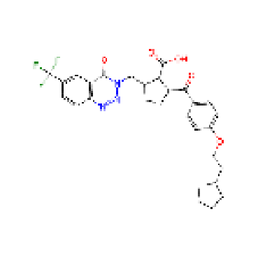 O=C(c1ccc(OCCC2CCCC2)cc1)C1CCC(Cn2nnc3ccc(C(F)(F)F)cc3c2=O)C1C(=O)O